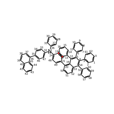 c1ccc(-c2c(-c3ccccc3)c(-c3ccccc3)c3c(-c4ccc(N(c5ccccc5)c5ccc(-c6cccc7ccccc67)cc5)cc4)cccc3c2-c2ccccc2)cc1